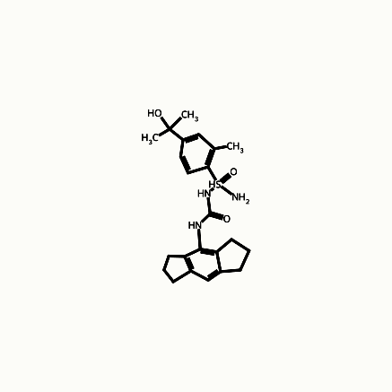 Cc1cc(C(C)(C)O)ccc1[SH](N)(=O)NC(=O)Nc1c2c(cc3c1CCC3)CCC2